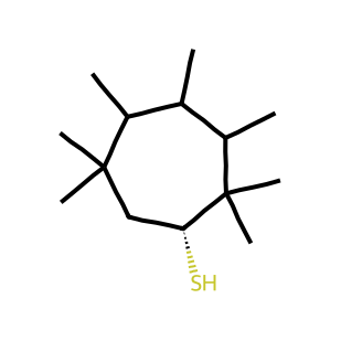 CC1C(C)C(C)(C)C[C@@H](S)C(C)(C)C1C